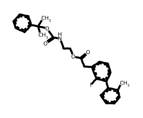 Cc1ccccc1-c1cccc(CC(=O)OCCNC(=O)OC(C)(C)c2ccccc2)c1I